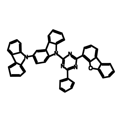 c1ccc(-c2nc(-c3cccc4c3oc3ccccc34)nc(-n3c4ccccc4c4cc(-n5c6ccccc6c6ccccc65)ccc43)n2)cc1